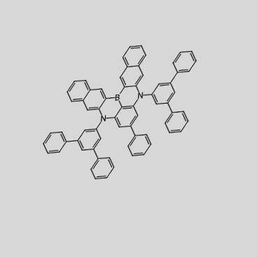 c1ccc(-c2cc(-c3ccccc3)cc(N3c4cc5ccccc5cc4B4c5cc6ccccc6cc5N(c5cc(-c6ccccc6)cc(-c6ccccc6)c5)c5cc(-c6ccccc6)cc3c54)c2)cc1